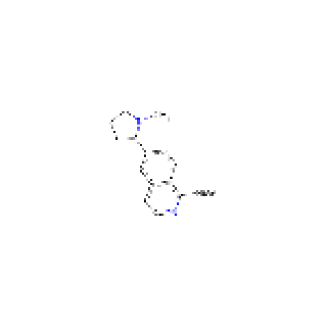 CNc1nccc2cc(C3CCCN3C)ccc12